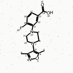 Cc1noc(C)c1N1CCN(c2cc(C(=O)O)ccc2F)CC1